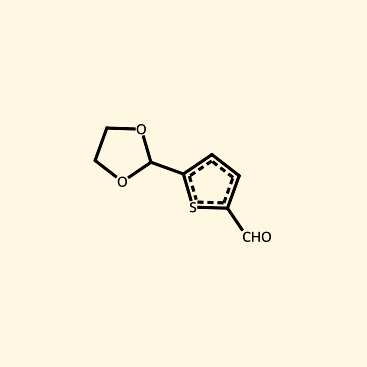 O=Cc1ccc(C2OCCO2)s1